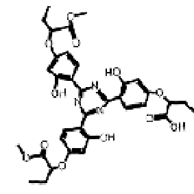 CCC(Oc1ccc(-c2nc(-c3ccc(OC(CC)C(=O)OC)cc3O)nc(-c3ccc(OC(CC)C(=O)OC)cc3O)n2)c(O)c1)C(=O)O